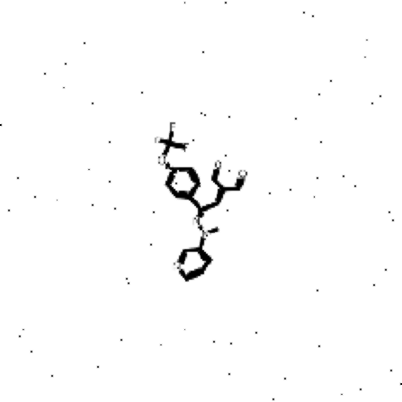 CN(/N=C(\C=C(C=O)C=O)c1ccc(OC(F)(F)F)cc1)c1cccnc1